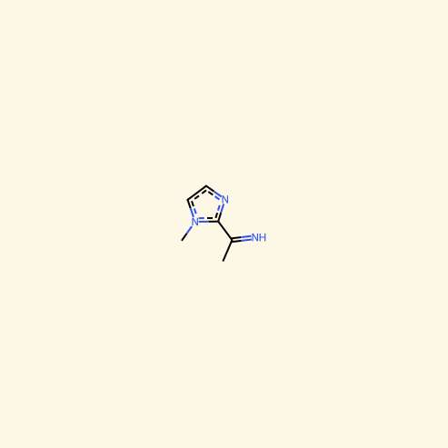 CC(=N)c1nccn1C